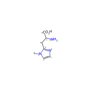 Cn1ccnc1CC(N)C(=O)O